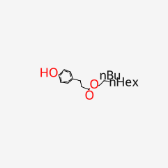 CCCCCCC(CCCC)COC(=O)CCc1ccc(O)cc1